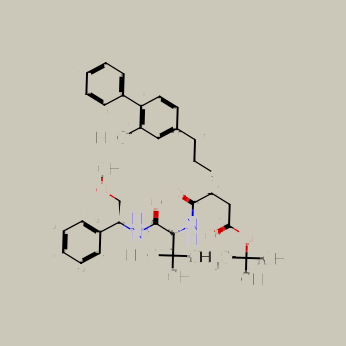 COC[C@@H](NC(=O)[C@@H](NC(=O)[C@H](CCCc1ccc(-c2ccccc2)c(C)c1)CC(=O)OC(C)(C)C)C(C)(C)C)c1ccccc1